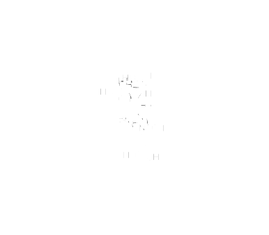 CCC(CC)CCn1c(C)cn(CC(=O)c2cc(C(C)(C)C)c(O)c(C(C)(C)C)c2)/c1=N\Br